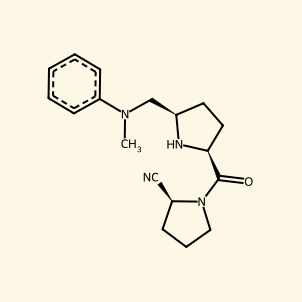 CN(C[C@H]1CC[C@@H](C(=O)N2CCC[C@H]2C#N)N1)c1ccccc1